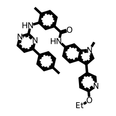 CCOc1ccc(-c2cn(C)c3cc(NC(=O)c4ccc(C)c(Nc5nccc(-c6ccc(C)cc6)n5)c4)ccc23)cn1